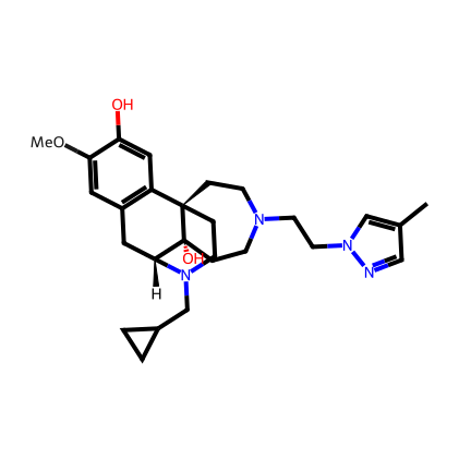 COc1cc2c(cc1O)[C@@]13CCN(CCn4cc(C)cn4)CC[C@@]1(O)[C@@H](C2)N(CC1CC1)CC3